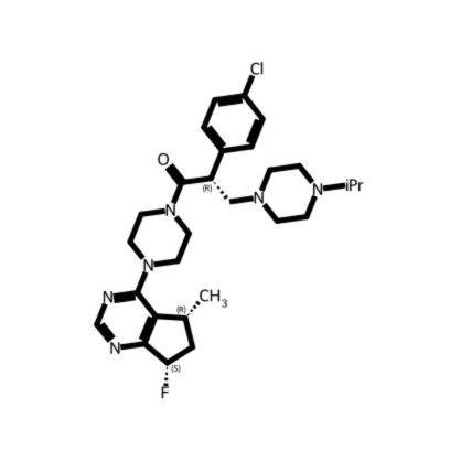 CC(C)N1CCN(C[C@H](C(=O)N2CCN(c3ncnc4c3[C@H](C)C[C@@H]4F)CC2)c2ccc(Cl)cc2)CC1